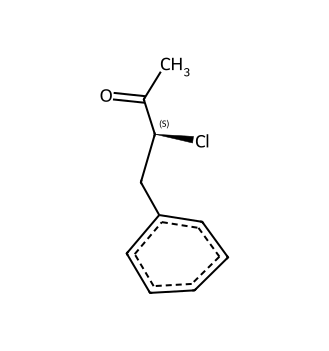 CC(=O)[C@@H](Cl)Cc1ccccc1